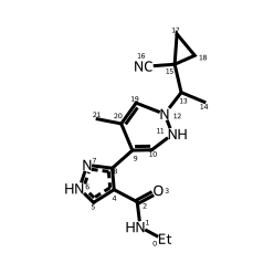 CCNC(=O)c1c[nH]nc1C1=CNN(C(C)C2(C#N)CC2)C=C1C